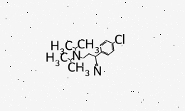 CC(C)N(CCC(C#N)c1ccc(Cl)cc1)C(C)C